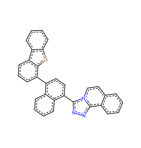 c1ccc2c(c1)ccn1c(-c3ccc(-c4cccc5c4sc4ccccc45)c4ccccc34)nnc21